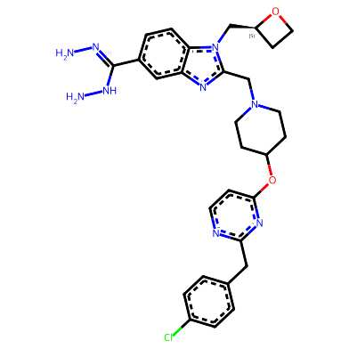 N/N=C(\NN)c1ccc2c(c1)nc(CN1CCC(Oc3ccnc(Cc4ccc(Cl)cc4)n3)CC1)n2C[C@@H]1CCO1